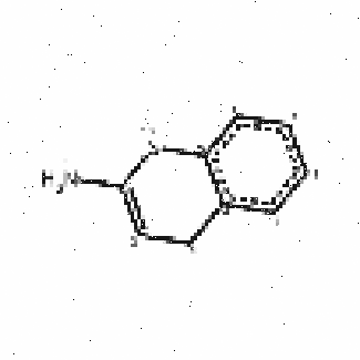 NC1=CCc2ccccc2S1